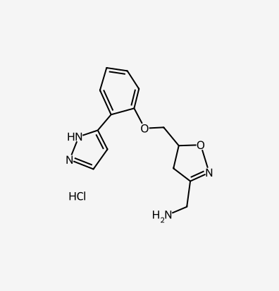 Cl.NCC1=NOC(COc2ccccc2-c2ccn[nH]2)C1